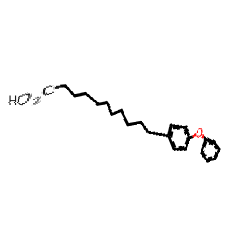 O=C(O)CCCCCCCCCCc1ccc(Oc2ccccc2)cc1